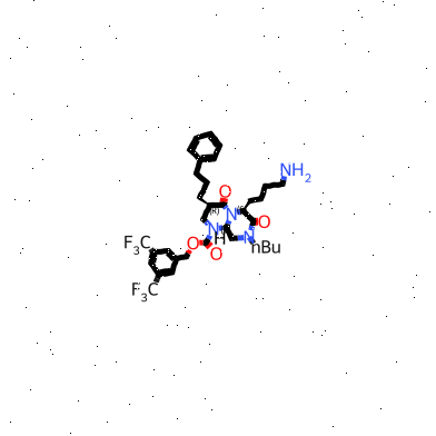 CCCCN1C[C@@H]2N(C(=O)OCc3cc(C(F)(F)F)cc(C(F)(F)F)c3)C[C@@H](CCCc3ccccc3)C(=O)N2[C@@H](CCCCN)C1=O